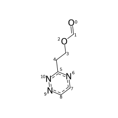 O=COCCc1nccnn1